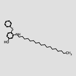 CCCCCCCCCCCCCCCCCCNc1cc(O)ccc1Sc1ccccc1